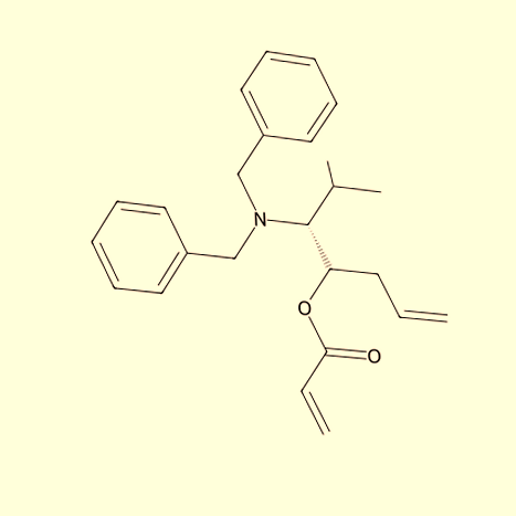 C=CCC(OC(=O)C=C)[C@@H](C(C)C)N(Cc1ccccc1)Cc1ccccc1